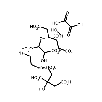 CCCCCCCCCCC[CH2][Na].O=C(O)C(=O)O.O=C(O)C(O)C(O)C(=O)O.O=C(O)CC(O)(CC(=O)O)C(=O)O.O=C(O)CCCCC(=O)O.O=S(=O)(O)O